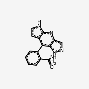 NC(=O)c1ccccc1-c1c2cc[nH]c2nc2cn[nH]c12